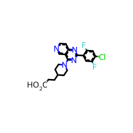 O=C(O)CCC1CCN(c2nc(-c3cc(F)c(Cl)cc3F)nc3ccncc23)CC1